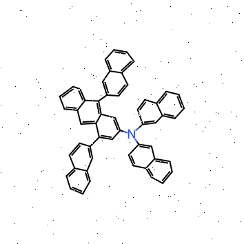 c1ccc2cc(-c3cc(N(c4ccc5ccccc5c4)c4ccc5ccccc5c4)cc4c(-c5ccc6ccccc6c5)c5ccccc5cc34)ccc2c1